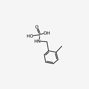 Cc1ccccc1CNP(=O)(O)O